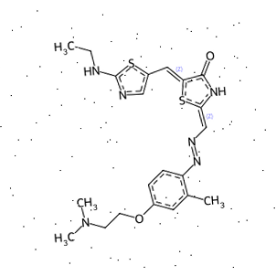 CCNc1ncc(/C=c2\s/c(=C\N=Nc3ccc(OCCN(C)C)cc3C)[nH]c2=O)s1